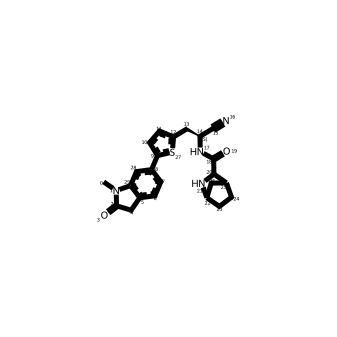 CN1C(=O)Cc2ccc(-c3ccc(C[C@@H](C#N)NC(=O)C4NC5CCC4C5)s3)cc21